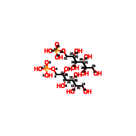 O=P(O)(O)OC[C@@H](O)[C@@H](O)[C@H](O)[C@@H](O)CO.O=P(O)(O)OC[C@@H](O)[C@@H](O)[C@H](O)[C@H](O)CO